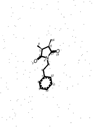 C[C@@H]1C(=O)N(CCc2ccccc2)C(=O)[C@@H]1C